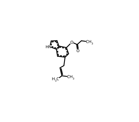 CCC(=O)Oc1cc(CC=C(C)C)cc2[nH]ccc12